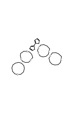 C1=CCC(C2=CC=CC2)=C1.C1CCCCCCCCCCC1.C1CCCCCCCCCCC1.C1CCCCCCCCCCC1.C1CCCCCCCCCCC1